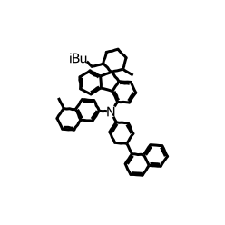 CCC(C)CC1CCCC(C)C12c1ccccc1-c1c(N(C3=CCC(c4cccc5ccccc45)C=C3)c3ccc4c(c3)C=CCC4C)cccc12